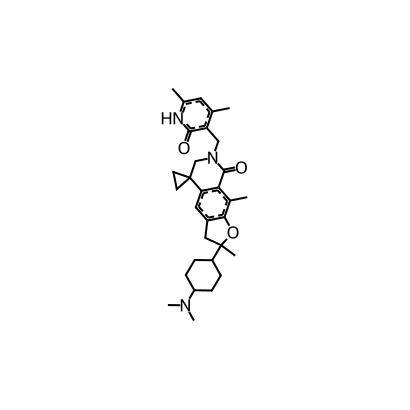 Cc1cc(C)c(CN2CC3(CC3)c3cc4c(c(C)c3C2=O)OC(C)(C2CCC(N(C)C)CC2)C4)c(=O)[nH]1